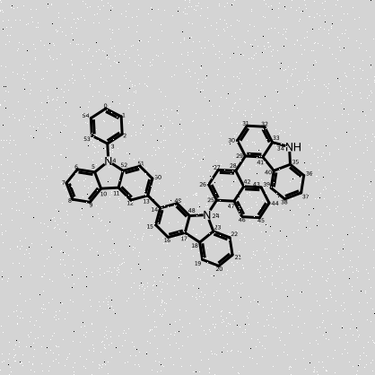 c1ccc(-n2c3ccccc3c3cc(-c4ccc5c6ccccc6n(-c6ccc(-c7cccc8[nH]c9ccccc9c78)c7ccccc67)c5c4)ccc32)cc1